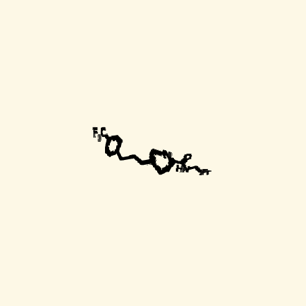 CC(C)CNC(=O)c1ccc(CCCc2ccc(C(F)(F)F)cc2)cn1